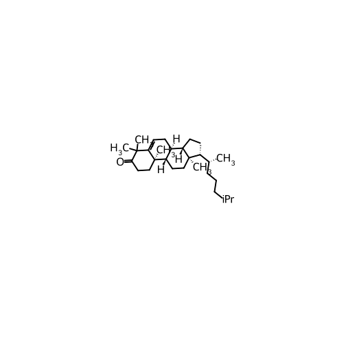 CC(C)CCC[C@@H](C)[C@H]1CC[C@H]2[C@@H]3CC=C4C(C)(C)C(=O)CC[C@]4(C)[C@H]3CC[C@]12C